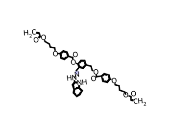 C=CC(=O)OCCCCOc1ccc(C(=O)OCCc2ccc(OC(=O)c3ccc(OCCCCOC(=O)C=C)cc3)c(/C=N/Nc3cc4ccccc4[nH]3)c2)cc1